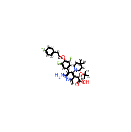 Cc1nc(N)c(-c2cc(F)c(OCCc3ccc(F)cc3)c(F)c2)c(N2CCC(C)(C)CC2)c1[C@H](OC(C)(C)C)C(=O)O